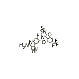 Cn1ncc2c(N)nc3cc(F)c(C(=O)N(Cc4cscn4)C4COc5cc(C(F)(F)F)ccc54)cc3c21